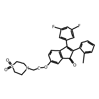 Cc1ccccc1C1=C(c2cc(F)cc(F)c2)c2ccc(OCCN3CCS(=O)(=O)CC3)cc2C1=O